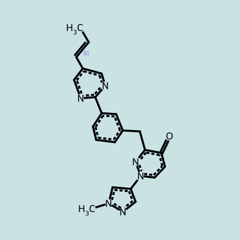 C/C=C/c1cnc(-c2cccc(Cc3nn(-c4cnn(C)c4)ccc3=O)c2)nc1